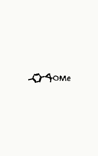 COC1(C)CC1c1ccc(C)cc1